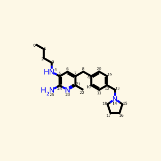 CCCCNc1cc(Cc2ccc(CN3CCCC3)cc2)c(C)nc1N